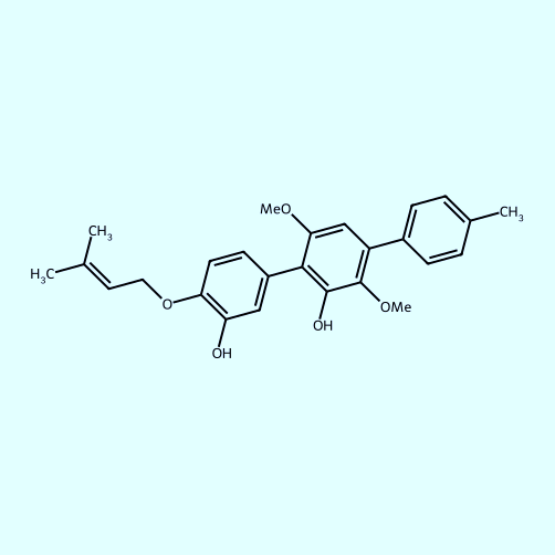 COc1cc(-c2ccc(C)cc2)c(OC)c(O)c1-c1ccc(OCC=C(C)C)c(O)c1